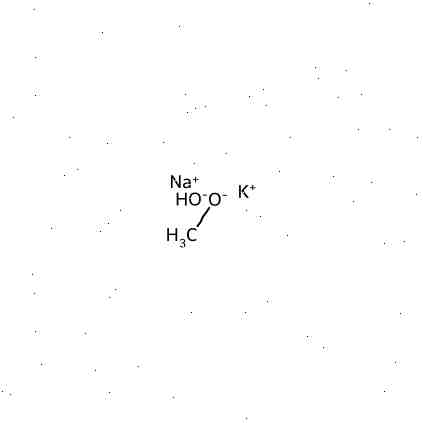 C[O-].[K+].[Na+].[OH-]